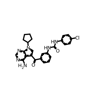 Nc1ncnc2c1c(C(=O)c1cccc(NC(=O)Nc3ccc(Cl)cc3)c1)cn2C1CCCC1